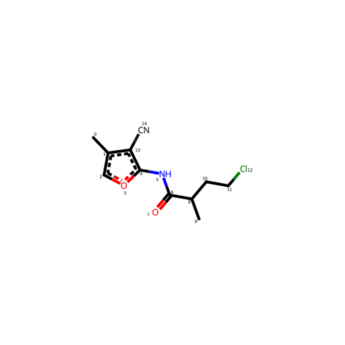 Cc1coc(NC(=O)C(C)CCCl)c1C#N